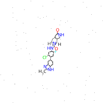 Cc1nc2cc(-c3cc(F)c(NC(=O)N4[C@H]5CC[C@@H]4c4c[nH]c(=O)cc4C5)cc3Cl)ccc2[nH]1